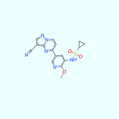 COc1ncc(-c2ccn3ncc(C#N)c3n2)cc1NS(=O)(=O)C1CC1